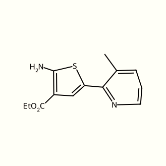 CCOC(=O)c1cc(-c2ncccc2C)sc1N